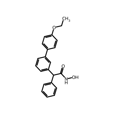 CCOc1ccc(-c2cccc(C(C(=O)NO)c3ccccc3)c2)cc1